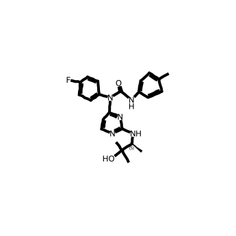 Cc1ccc(NC(=O)N(c2ccc(F)cc2)c2ccnc(N[C@@H](C)C(C)(C)O)n2)cc1